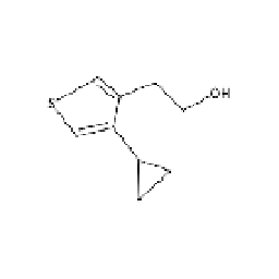 OCCc1cscc1C1CC1